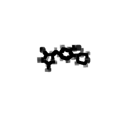 O=C1NC(=S)S/C1=C\c1ccc(N2CCOCC2)c([N+](=O)[O-])c1